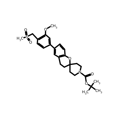 COc1cc(-c2ccc3c(c2)CCC2(CCN(C(=O)OC(C)(C)C)CC2)O3)ccc1CS(C)(=O)=O